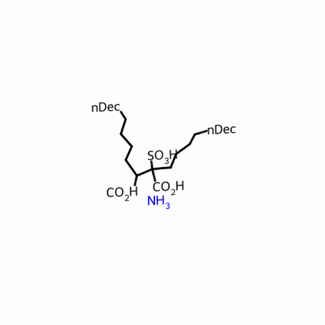 CCCCCCCCCCCCCCC(C(=O)O)C(CCCCCCCCCCCCCC)(C(=O)O)S(=O)(=O)O.N